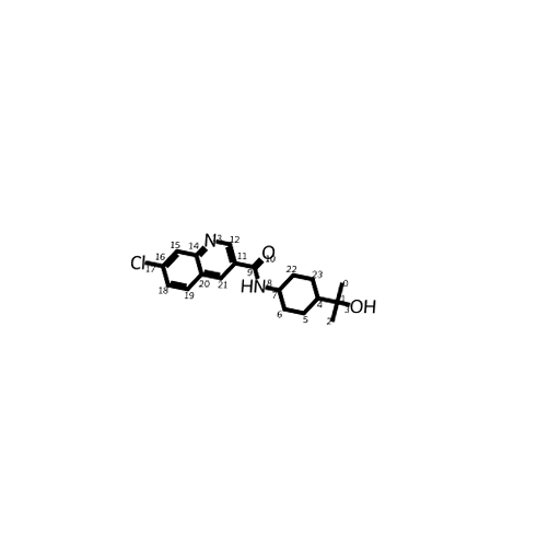 CC(C)(O)C1CCC(NC(=O)c2cnc3cc(Cl)ccc3c2)CC1